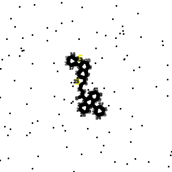 C/C(=C\C=C1/Cc2cc3ccc4sc5ccccc5c4c3cc2S1)c1c2ccccc2c(-c2ccccc2)c2ccccc12